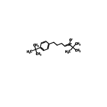 CC(C)(C)c1ccc(CCCC=[N+]([O-])C(C)(C)C)cc1